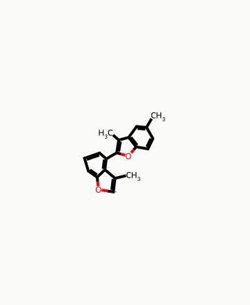 Cc1ccc2oc(-c3cccc4o[c]c(C)c34)c(C)c2c1